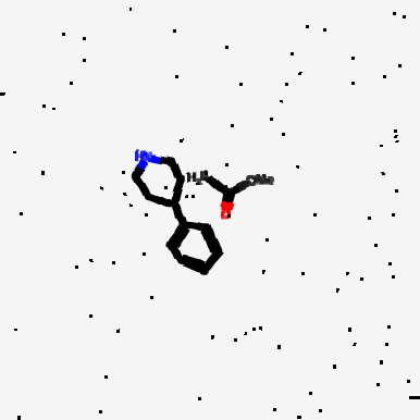 BC(=O)OC.c1ccc(C2CCNCC2)cc1